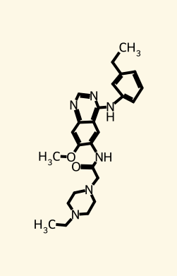 CCc1cccc(Nc2ncnc3cc(OC)c(NC(=O)CN4CCN(CC)CC4)cc23)c1